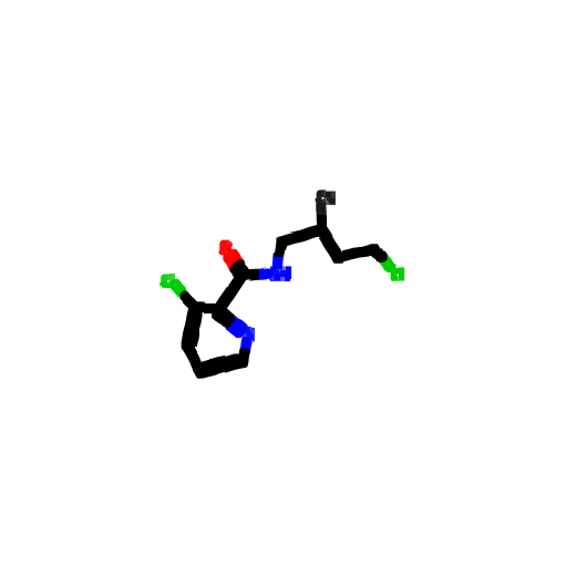 N#CC(CCCl)CNC(=O)c1ncccc1Cl